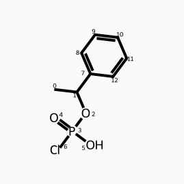 CC(OP(=O)(O)Cl)c1ccccc1